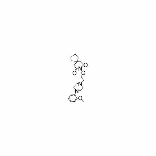 COc1ccccc1N1CCN(CCON2C(=O)CC3(CCCC3)CC2=O)CC1